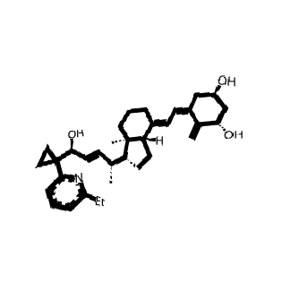 C=C1/C(=C\C=C2/CCC[C@]3(C)[C@@H]([C@H](C)/C=C/[C@H](O)C4(c5cccc(CC)n5)CC4)CC[C@@H]23)C[C@@H](O)C[C@@H]1O